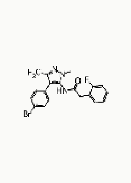 Cn1nc(C(F)(F)F)c(-c2ccc(Br)cc2)c1NC(=O)Cc1ccccc1F